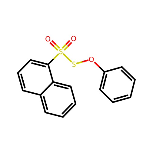 O=S(=O)(SOc1ccccc1)c1cccc2ccccc12